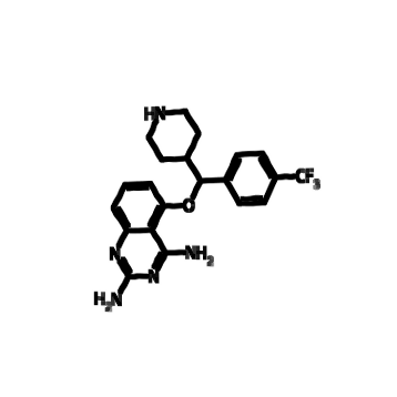 Nc1nc(N)c2c(OC(c3ccc(C(F)(F)F)cc3)C3CCNCC3)cccc2n1